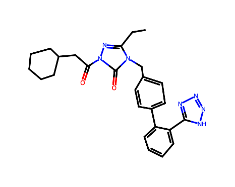 CCc1nn(C(=O)CC2CCCCC2)c(=O)n1Cc1ccc(-c2ccccc2-c2nnn[nH]2)cc1